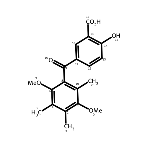 COc1c(C)c(C)c(OC)c(C(=O)c2ccc(O)c(C(=O)O)c2)c1C